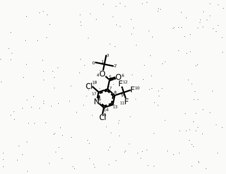 CC(C)(C)OC(=O)c1c(C(F)(F)F)cc(Cl)nc1Cl